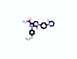 COc1ccc(-n2nc(C(N)=O)c3c2C(=O)N(C2=CC=C(N4CCCCC4=O)CC=C2)CC3)cc1